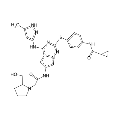 Cc1cc(Nc2nc(Sc3ccc(NC(=O)C4CC4)cc3)nn3cc(NC(=O)CN4CCCC4CO)cc23)n[nH]1